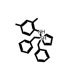 Cc1ccc(N[SH]2(Cc3ccccc3)(Cc3ccccc3)C=CC=C2)c(C)c1